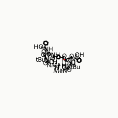 CN[C@@H](C)C(=O)N[C@H](C(=O)N1C[C@@H](NC(=O)c2ccc(C(=O)N[C@H]3C[C@@H](C(=O)N[C@H](CO)c4ccccc4)N(C(=O)[C@@H](NC(=O)[C@H](C)NC)C(C)(C)C)C3)cc2)C[C@H]1C(=O)N[C@H](CO)c1ccccc1)C(C)(C)C